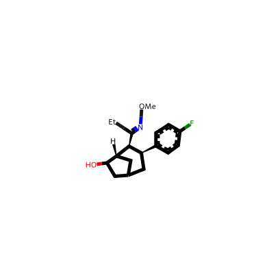 CCC(=NOC)[C@H]1[C@@H](c2ccc(F)cc2)CC2CC(O)[C@H]1C2